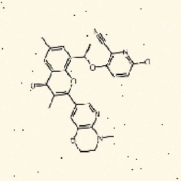 Cc1cc([C@@H](C)Oc2ccc(Cl)nc2C#N)c2oc(-c3cnc4c(c3)OCCN4C)c(C)c(=O)c2c1